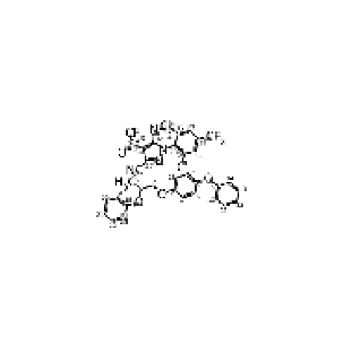 CC(COc1ccc(Oc2ccccc2)cc1)Oc1ccccn1.N#Cc1nn(-c2c(Cl)cc(C(F)(F)F)cc2Cl)c(N)c1[S+]([O-])C(F)(F)F